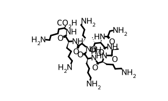 C[C@H](NC(=O)[C@@H](NC(=O)CN)[C@@H](C)O)C(=O)N[C@@H](CCCCN)C(=O)N[C@@H](CCCCN)C(=O)N[C@@H](CCCCN)C(=O)N[C@@H](CCCCN)C(=O)N[C@@H](CCCCN)C(=O)O